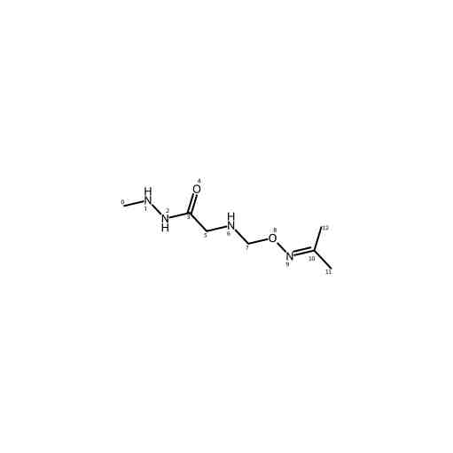 CNNC(=O)CNCON=C(C)C